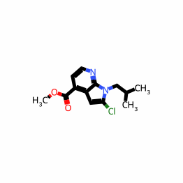 COC(=O)c1ccnc2c1cc(Cl)n2CC(C)C